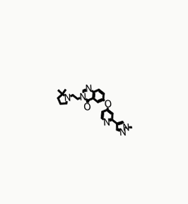 Cn1cc(-c2cc(Oc3ccc4ncn(CCN5CCCC5(C)C)c(=O)c4c3)ccn2)cn1